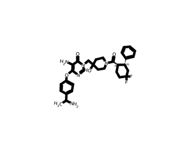 CC(N)c1ccc(Oc2ncn(CC3(O)CCN(C(=O)[C@@H]4CCC(F)(F)C[C@H]4c4ccccc4)CC3)c(=O)c2N)cc1